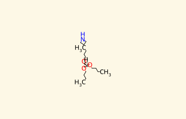 C1CNC1.CCCCO[SiH](OCCCC)OCCCC